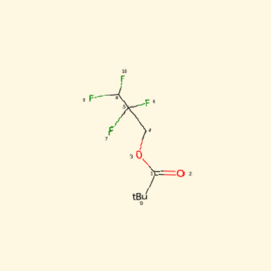 CC(C)(C)C(=O)OCC(F)(F)C(F)F